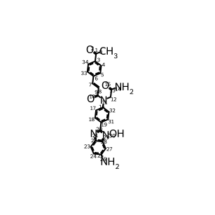 CC(=O)c1ccc(/C=C/C(=O)N(CC(N)=O)c2ccc(-c3nc4ccc(N)cc4n3O)cc2)cc1